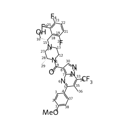 COc1ccc(-c2nc3c(C(=O)N4CCN([C@H](CO)c5c(F)ccc(F)c5F)C[C@H]4C)cnn3c(C(F)(F)F)c2C)cc1